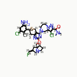 CN(C)C(=O)c1nn2c(c1Cl)CN(c1nc(OC[C@@]34CCCN3C/C(=C\F)C4)nc3c1CSC(c1cc(N)cc(Cl)c1C(F)(F)F)C3)CCC2